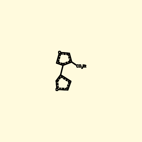 CCOC(=O)c1cocc1-c1ccoc1